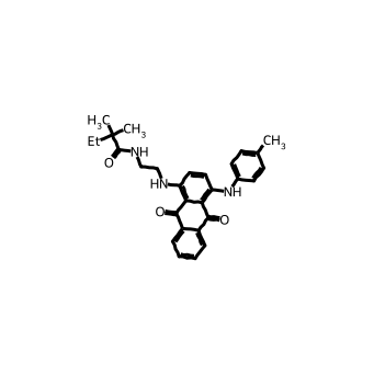 CCC(C)(C)C(=O)NCCNc1ccc(Nc2ccc(C)cc2)c2c1C(=O)c1ccccc1C2=O